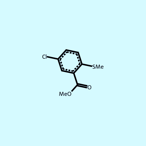 COC(=O)c1cc(Cl)ccc1SC